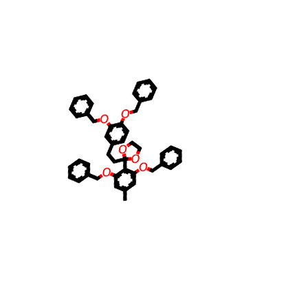 Cc1cc(OCc2ccccc2)c(C2(CCc3ccc(OCc4ccccc4)c(OCc4ccccc4)c3)OCCO2)c(OCc2ccccc2)c1